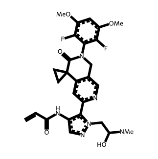 C=CC(=O)Nc1cnn(CC(O)NC)c1-c1cc2c(cn1)CN(c1c(F)c(OC)cc(OC)c1F)C(=O)C21CC1